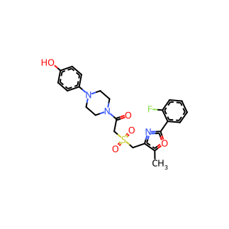 Cc1oc(-c2ccccc2F)nc1CS(=O)(=O)CC(=O)N1CCN(c2ccc(O)cc2)CC1